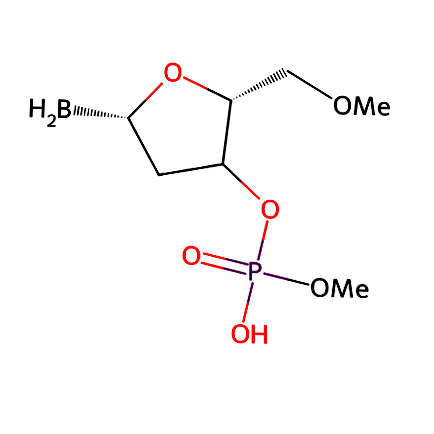 B[C@H]1CC(OP(=O)(O)OC)[C@@H](COC)O1